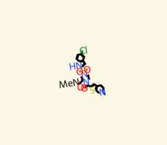 CNC(=O)C1CN(S(=O)(=O)c2cc3cc(Cl)ccc3[nH]2)CCN1C(=O)c1cc2c(s1)CN(C)CC2